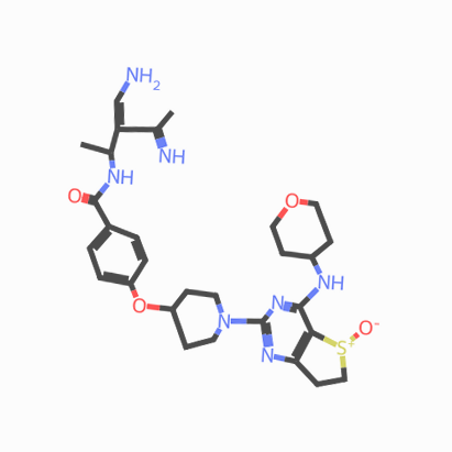 CC(=N)/C(=C\N)C(C)NC(=O)c1ccc(OC2CCN(c3nc4c(c(NC5CCOCC5)n3)[S+]([O-])CC4)CC2)cc1